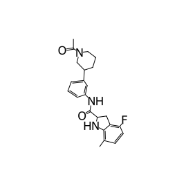 CC(=O)N1CCCC(c2cccc(NC(=O)C3Cc4c(F)ccc(C)c4N3)c2)C1